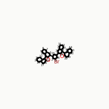 Brc1cc(-c2cc3ccccc3c3c2oc2ccc4ccccc4c23)cc(-c2cc3ccccc3c3c2oc2ccc4ccccc4c23)c1